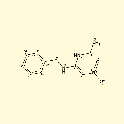 CCN/C(=C\[N+](=O)[O-])NCc1cccnc1